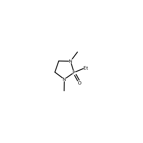 CCP1(=O)N(C)CCN1C